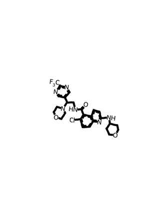 O=C(NCC(c1cnc(C(F)(F)F)nc1)N1CCOCC1)c1c(Cl)ccc2nc(NC3CCOCC3)ccc12